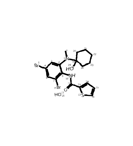 CN(c1cc(Br)cc(Br)c1NC(=O)c1cccs1)C1(O)CCCCC1.Cl